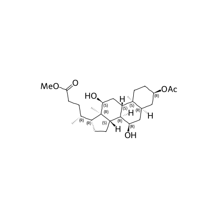 COC(=O)CC[C@@H](C)[C@H]1CC[C@H]2[C@@H]3[C@H](O)C[C@@H]4C[C@H](OC(C)=O)CC[C@]4(C)[C@H]3C[C@H](O)[C@]12C